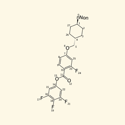 CCCCCCCCC[C@H]1CC[C@H](COc2ccc(C(=O)Oc3cc(F)c(F)c(F)c3)c(F)c2)CC1